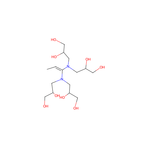 CC=C(N(CC(O)CO)CC(O)CO)N(CC(O)CO)CC(O)CO